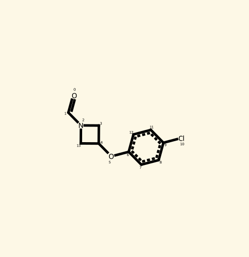 O=CN1CC(Oc2ccc(Cl)cc2)C1